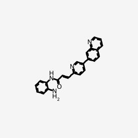 Nc1ccccc1NC(=O)C=Cc1ccc(-c2ccc3cccnc3c2)cn1